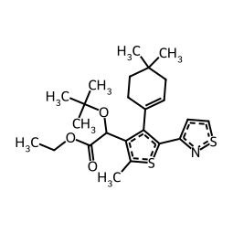 CCOC(=O)C(OC(C)(C)C)c1c(C)sc(-c2ccsn2)c1C1=CCC(C)(C)CC1